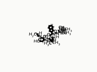 C#CCC(NC(=O)[C@@H]1[C@@H]2[C@H](CN1C(=O)[C@@H](NC(=O)N[C@H](CN(C)S(=O)(=O)N(C)C)C(C)(C)C)C1Cc3ccccc3C1)C2(C)C)C(=O)C(=O)NCC=C